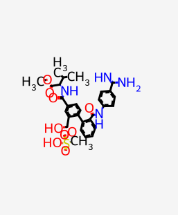 COC(=O)[C@@H](NC(=O)c1ccc(-c2ccccc2C(=O)Nc2ccc(C(=N)N)cc2)c(C(=O)O)c1)C(C)C.CS(=O)(=O)O